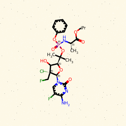 CC(C)OC(=O)[C@H](C)N[P@@](=O)(Oc1ccccc1)OC(C)(C)[C@H]1O[C@@H](n2cc(F)c(N)nc2=O)[C@@](Cl)(CF)C1O